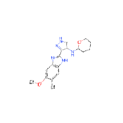 CCOc1cc2nc(-c3n[nH]cc3NC3CCCCO3)[nH]c2cc1CC